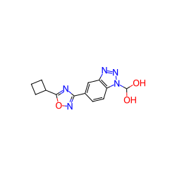 OC(O)n1nnc2cc(-c3noc(C4CCC4)n3)ccc21